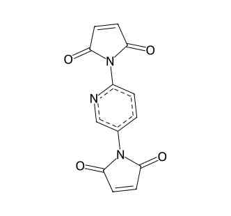 O=C1C=CC(=O)N1c1ccc(N2C(=O)C=CC2=O)nc1